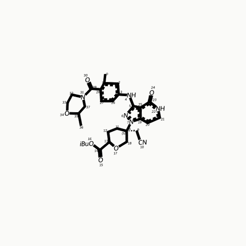 Cc1cc(Nc2nn([C@]3(CC#N)CCC(C(=O)OCC(C)C)OC3)c3cc[nH]c(=O)c23)ccc1C(=O)N1CCOC(C)C1